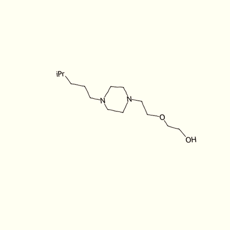 CC(C)CCCN1CCN(CCOCCO)CC1